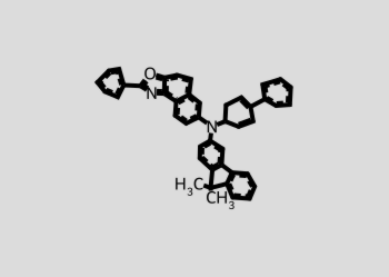 CC1(C)c2ccccc2-c2cc(N(c3ccc4c(ccc5oc(-c6ccccc6)nc54)c3)C3C=CC(c4ccccc4)=CC3)ccc21